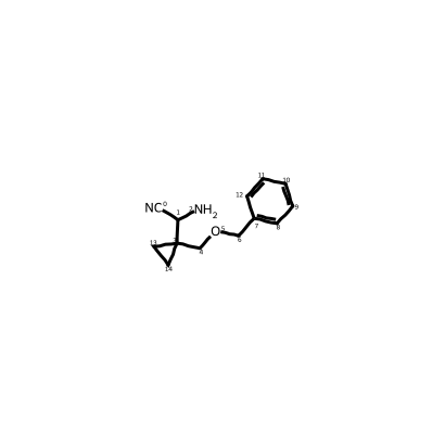 N#CC(N)C1(COCc2ccccc2)CC1